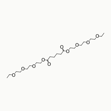 CCOCCOCCOCCOC(=O)CCCCC(=O)OCCOCCOCCOCC